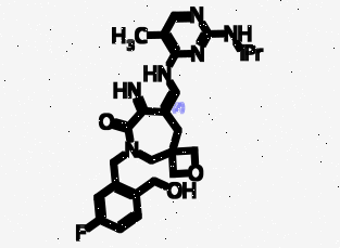 Cc1cnc(NC(C)C)nc1N/C=C1/CC2(COC2)CN(Cc2cc(F)ccc2CO)C(=O)C1=N